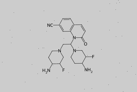 N#Cc1ccc2ccc(=O)n(C(CN3CCC(N)C(F)C3)N3CCC(N)C(F)C3)c2c1